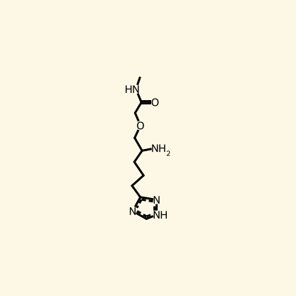 CNC(=O)COCC(N)CCCc1nc[nH]n1